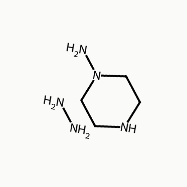 NN.NN1CCNCC1